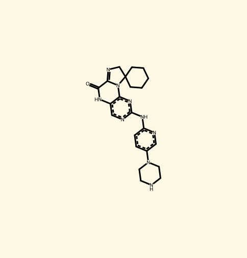 O=C1Nc2cnc(Nc3ccc(N4CCNCC4)cn3)nc2N2C1=NCC21CCCCC1